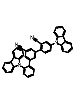 N#Cc1cc(-c2ccc(-n3c4ccccc4c4ccccc43)cc2C#N)cc(-c2ccccc2-n2c3ccccc3c3ccccc32)c1